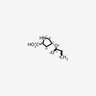 C=CC(=O)O[C@H]1CN[C@H](C(=O)O)C1